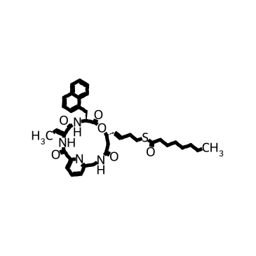 C/C=C1\NC(=O)c2cccc(n2)CNC(=O)C[C@@H](/C=C/CCSC(=O)CCCCCCC)OC(=O)[C@H](Cc2cccc3ccccc23)NC1=O